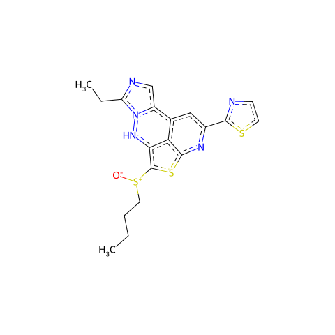 CCCC[S+]([O-])c1sc2nc(-c3nccs3)cc3c2c1[nH]n1c(CC)ncc31